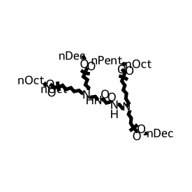 CCCCCCCCCCCOC(=O)C(C)(C)CCCCN(CCCCCCC(C)(C)C(=O)OC(CCCCC)CCCCCCCC)CCNC(=O)CC(=O)NCCN(CCCCCCC(C)(C)C(=O)OC(CCCCCCCC)CCCCCCCC)CCCCC(C)(C)C(=O)OCCCCCCCCCCC